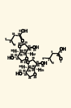 CC(C)CC(=O)O.CC(C)CC(=O)O.O[C@@H]1CO[C@H]2[C@@H]1OC[C@@H]2O.O[C@@H]1CO[C@H]2[C@@H]1OC[C@@H]2O